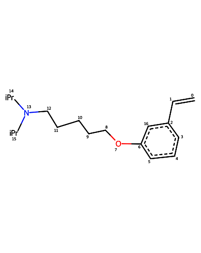 C=Cc1cccc(OCCCCCN(C(C)C)C(C)C)c1